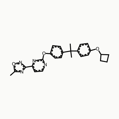 Cc1nc(-c2ccnc(Oc3ccc(C(C)(C)c4ccc(OC5CCC5)cc4)cc3)n2)no1